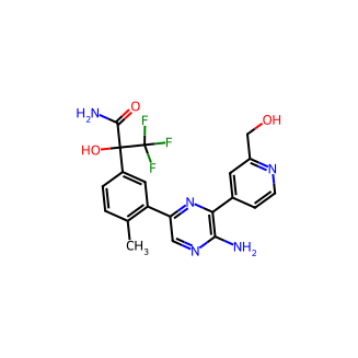 Cc1ccc(C(O)(C(N)=O)C(F)(F)F)cc1-c1cnc(N)c(-c2ccnc(CO)c2)n1